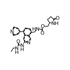 CCNC(=O)Nc1cc2c(-c3ccncc3)ccc(CNC(=O)OCC3CCC(=O)N3)c2cn1